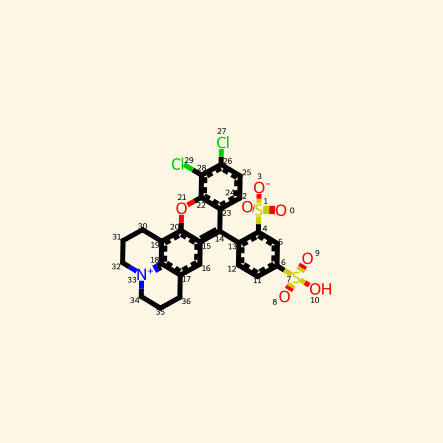 O=S(=O)([O-])c1cc(S(=O)(=O)O)ccc1C1=c2cc3c4c(c2Oc2c1ccc(Cl)c2Cl)CCC[N+]=4CCC3